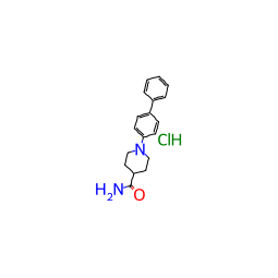 Cl.NC(=O)C1CCN(c2ccc(-c3ccccc3)cc2)CC1